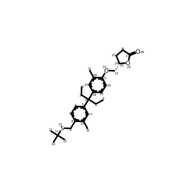 CCC(CC)(c1ccc(CSC(C)(C)C)c(C)c1)c1ccc(OC[C@@H]2CCC(=O)O2)c(C)c1